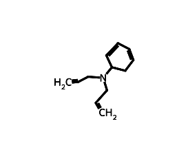 C=CCN(CC=C)[C]1C=CC=CC1